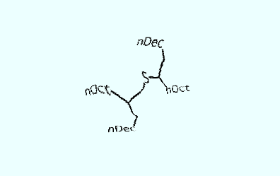 CCCCCCCCCCCC(CCCCCCCC)SC(CCCCCCCC)CCCCCCCCCCC